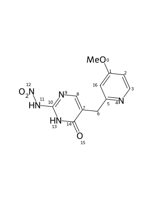 COc1ccnc(Cc2cnc(N[N+](=O)[O-])[nH]c2=O)c1